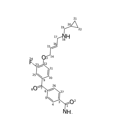 NC(=O)c1ccc(C(=O)c2ccc(OC/C=C/CNCC3CC3)c(F)c2)cc1